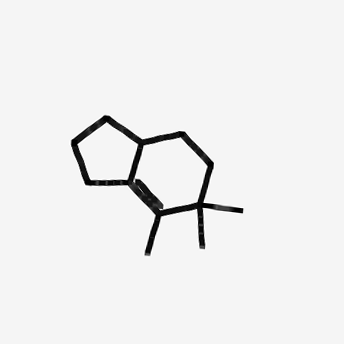 CC1=C2CCCC2CCC1(C)C